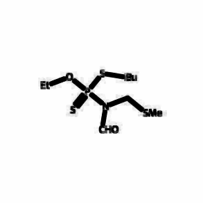 CCOP(=S)(SC(C)CC)N(C=O)CSC